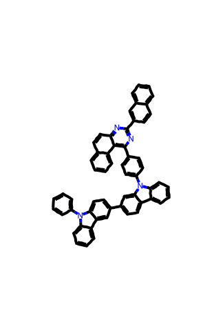 c1ccc(-n2c3ccccc3c3cc(-c4ccc5c6ccccc6n(-c6ccc(-c7nc(-c8ccc9ccccc9c8)nc8ccc9ccccc9c78)cc6)c5c4)ccc32)cc1